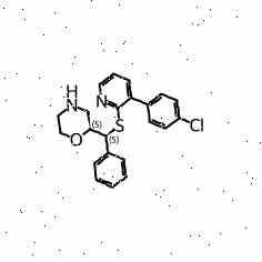 Clc1ccc(-c2cccnc2S[C@@H](c2ccccc2)[C@@H]2CNCCO2)cc1